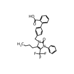 CCCCc1c(C(F)(F)F)n(-c2ccccc2)c(=O)n1Cc1ccc(-c2ccccc2C(=O)O)cc1